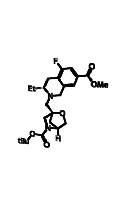 CC[C@@H]1Cc2c(F)cc(C(=O)OC)cc2CN1C[C@]12C[C@H](CO1)N(C(=O)OC(C)(C)C)C2